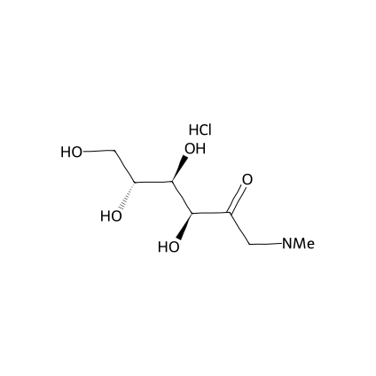 CNCC(=O)[C@@H](O)[C@H](O)[C@H](O)CO.Cl